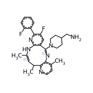 C/C1=C/C(C)c2nccc(C)c2/N=C(/N2CCC(CN)CC2)c2cc(F)c(-c3ccccc3F)nc2N1